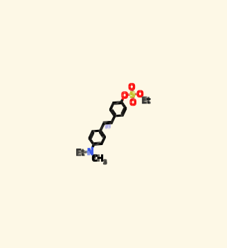 CCOS(=O)(=O)Oc1ccc(/C=C/c2ccc(N(C)CC)cc2)cc1